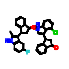 Cc1[nH]c2ccc(F)cc2c1C1CC(=O)c2ccccc21.O=C1CC(c2c[nH]c3cccc(Cl)c23)c2ccccc21